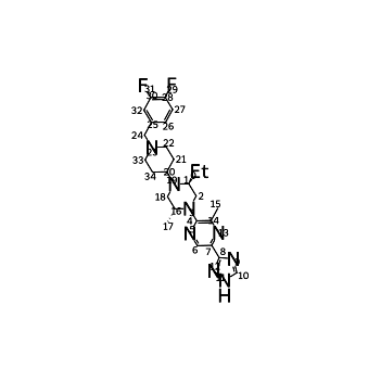 CC[C@H]1CN(c2ncc(-c3nc[nH]n3)nc2C)[C@H](C)CN1C1CCN(Cc2ccc(F)c(F)c2)CC1